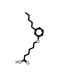 [CH2]CCCCc1cccc(OCCCCCC(=O)O)c1